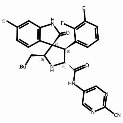 CC(C)(C)C[C@@H]1N[C@@H](C(=O)Nc2cnc(C#N)nc2)[C@H](c2cccc(Cl)c2F)[C@]12C(=O)Nc1cc(Cl)ccc12